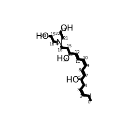 CC/C=C\C[C@H](O)/C=C/C=C\C=C\[C@@H](O)CCN(CCO)CCO